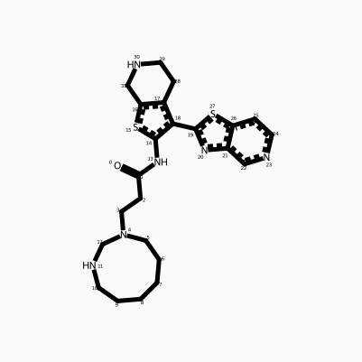 O=C(CCN1CCCCCCNC1)Nc1sc2c(c1-c1nc3cnccc3s1)CCNC2